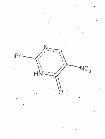 CC(C)c1ncc([N+](=O)[O-])c(=O)[nH]1